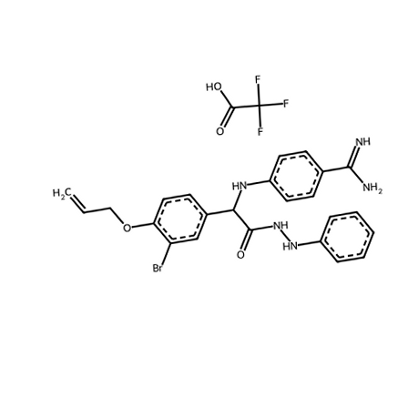 C=CCOc1ccc(C(Nc2ccc(C(=N)N)cc2)C(=O)NNc2ccccc2)cc1Br.O=C(O)C(F)(F)F